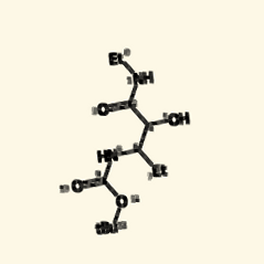 CCNC(=O)C(O)C(CC)NC(=O)OC(C)(C)C